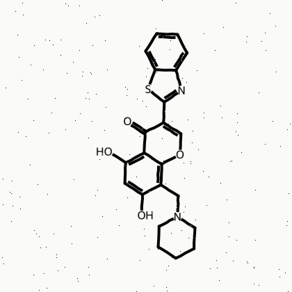 O=c1c(-c2nc3ccccc3s2)coc2c(CN3CCCCC3)c(O)cc(O)c12